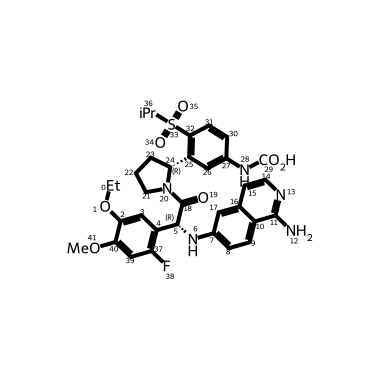 CCOc1cc([C@@H](Nc2ccc3c(N)nccc3c2)C(=O)N2CCC[C@@H]2c2cc(NC(=O)O)ccc2S(=O)(=O)C(C)C)c(F)cc1OC